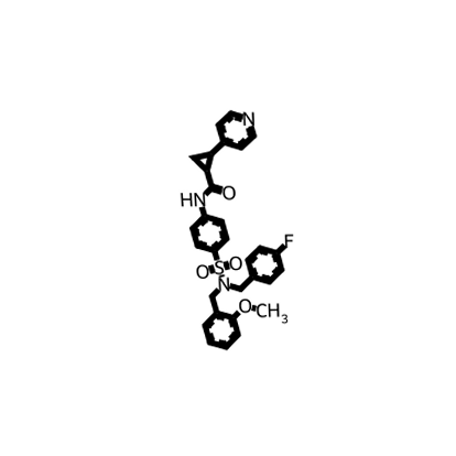 COc1ccccc1CN(Cc1ccc(F)cc1)S(=O)(=O)c1ccc(NC(=O)C2CC2c2ccncc2)cc1